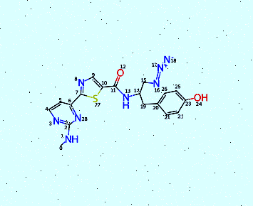 CNc1nccc(-c2ncc(C(=O)NC(CN=[N+]=[N-])Cc3ccc(O)cc3)s2)n1